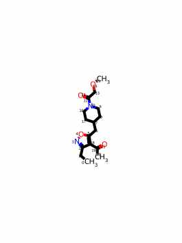 CCc1noc(CC2CCN(C(=O)COC)CC2)c1C(C)=O